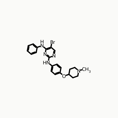 CN1CCC(Oc2ccc(Nc3ncc(Br)c(Nc4ccccc4)n3)cc2)CC1